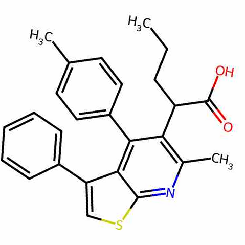 CCCC(C(=O)O)c1c(C)nc2scc(-c3ccccc3)c2c1-c1ccc(C)cc1